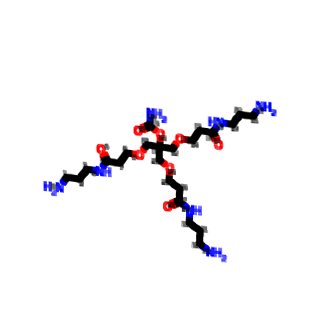 NCCCNC(=O)CCOCC(COCCC(=O)NCCCN)(COCCC(=O)NCCCN)OC(N)=O